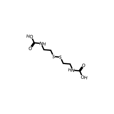 O=C(O)NCCSSCCNC(=O)O